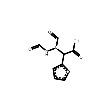 O=CNN(C=O)C(C(=O)O)c1cccs1